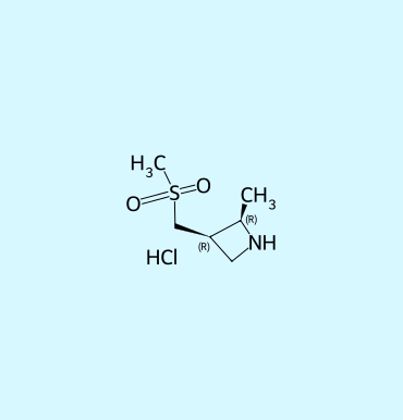 C[C@H]1NC[C@H]1CS(C)(=O)=O.Cl